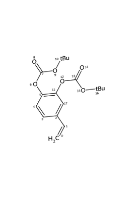 C=Cc1ccc(OC(=O)OC(C)(C)C)c(OC(=O)OC(C)(C)C)c1